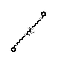 O=C(CC(O)C(=O)OCCCCCCOCc1ccccc1)OCCCCCCOCc1ccccc1